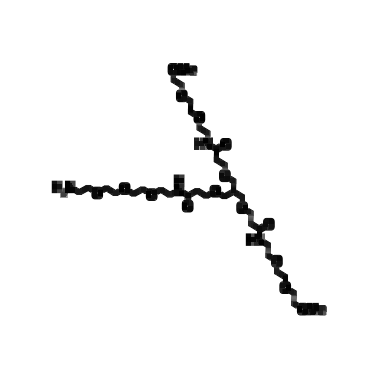 COCCOCCOCCNC(=O)CCOCC(COCCC(=O)NCCOCCOCCOC)COCCC(=O)NCCOCCOCCOCCN